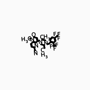 CCC1CN(c2cc(=O)n(C)c3ccc(C#N)nc23)[C@@H](C)CN1Cc1ccc(C(F)(F)F)cc1C(F)(F)F